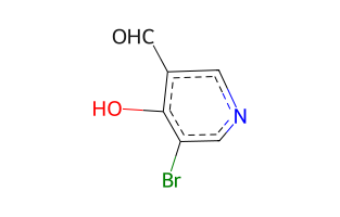 O=Cc1cncc(Br)c1O